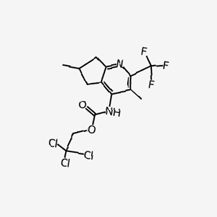 Cc1c(C(F)(F)F)nc2c(c1NC(=O)OCC(Cl)(Cl)Cl)CC(C)C2